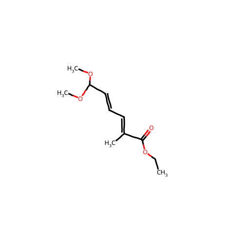 CCOC(=O)/C(C)=C/C=C/C(OC)OC